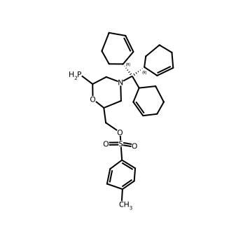 Cc1ccc(S(=O)(=O)OCC2CN(C(C3C=CCCC3)([C@H]3C=CCCC3)[C@H]3C=CCCC3)CC(P)O2)cc1